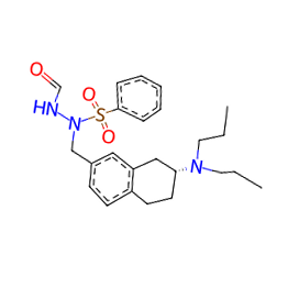 CCCN(CCC)[C@@H]1CCc2ccc(CN(NC=O)S(=O)(=O)c3ccccc3)cc2C1